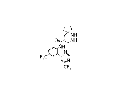 O=C(Nc1ccc(C(F)(F)F)cc1-c1cc(C(F)(F)F)ncn1)C1=CC2(CCCC2)NNC1